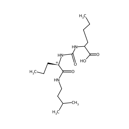 CCCCC(NC(=O)N[C@H](CCC)C(=O)NCCC(C)C)C(=O)O